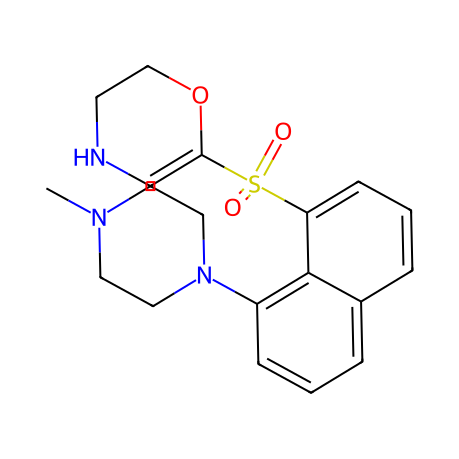 CN1CCN(c2cccc3cccc(S(=O)(=O)C4=CNCCO4)c23)CC1